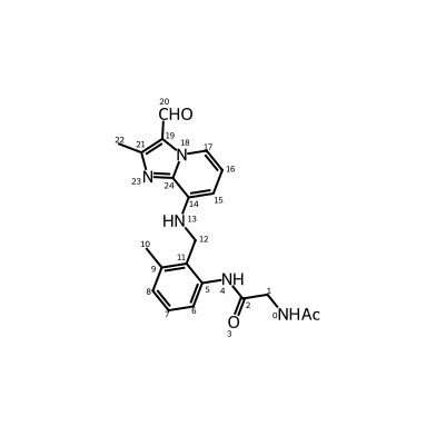 CC(=O)NCC(=O)Nc1cccc(C)c1CNc1cccn2c(C=O)c(C)nc12